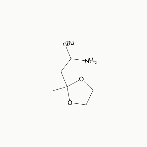 CCCCC(N)CC1(C)OCCO1